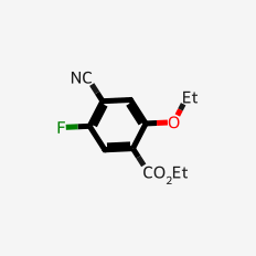 CCOC(=O)c1cc(F)c(C#N)cc1OCC